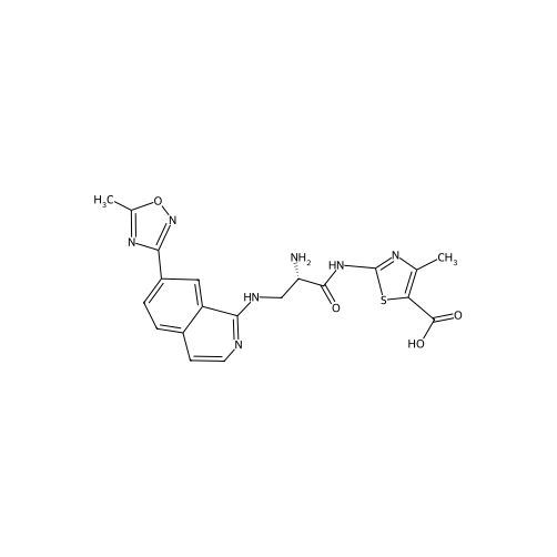 Cc1nc(-c2ccc3ccnc(NC[C@H](N)C(=O)Nc4nc(C)c(C(=O)O)s4)c3c2)no1